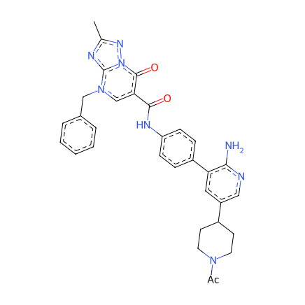 CC(=O)N1CCC(c2cnc(N)c(-c3ccc(NC(=O)c4cn(Cc5ccccc5)c5nc(C)nn5c4=O)cc3)c2)CC1